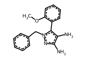 COc1ccccc1-c1c(N)c(N)nn1Cc1ccccc1